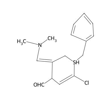 CN(C)C=C1C[SH](Cc2ccccc2)C(Cl)=CC1C=O